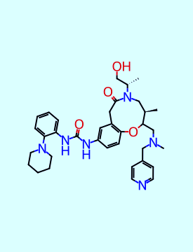 C[C@@H]1CN([C@@H](C)CO)C(=O)Cc2cc(NC(=O)Nc3ccccc3N3CCCCC3)ccc2OC1CN(C)Cc1ccncc1